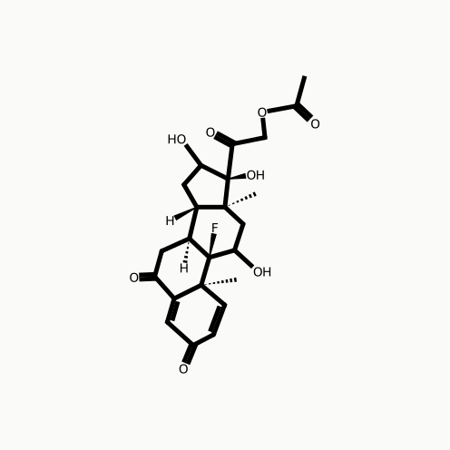 CC(=O)OCC(=O)[C@@]1(O)C(O)C[C@H]2[C@@H]3CC(=O)C4=CC(=O)C=C[C@]4(C)[C@@]3(F)C(O)C[C@@]21C